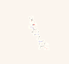 CC1CN(CCN2CCC(NC(=O)OC(C)(C)C)CC2)C[C@H](C)C1O